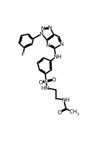 CC(=O)NCCNS(=O)(=O)c1cccc(Nc2ncc3nnn(-c4cccc(F)c4)c3n2)c1